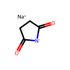 O=C1CCC(=O)[N-]1.[Na+]